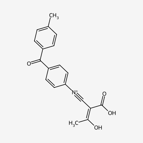 C/C(O)=C(\C#[N+]c1ccc(C(=O)c2ccc(C)cc2)cc1)C(=O)O